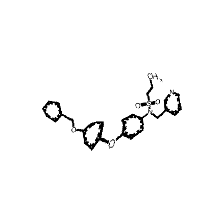 CCCS(=O)(=O)N(Cc1cccnc1)c1ccc(Oc2ccc(OCc3ccccc3)cc2)cc1